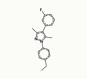 [CH2]Cc1ccc(-n2nc(C)c(-c3cccc(F)c3)c2C)cc1